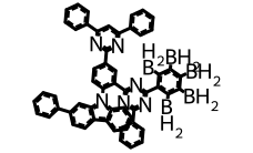 Bc1c(B)c(B)c(-c2nc(-c3ccccc3)nc(-c3cc(-c4nc(-c5ccccc5)cc(-c5ccccc5)n4)ccc3-n3c4ccccc4c4ccc(-c5ccccc5)cc43)n2)c(B)c1B